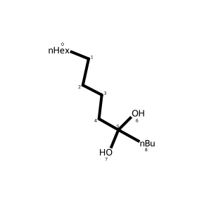 CCCCCCCCCCC(O)(O)CCCC